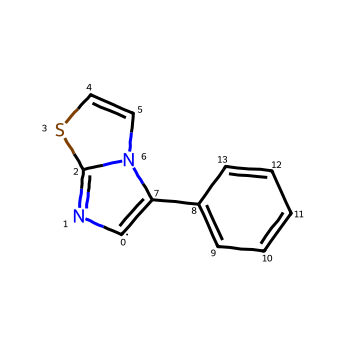 [c]1nc2sccn2c1-c1ccccc1